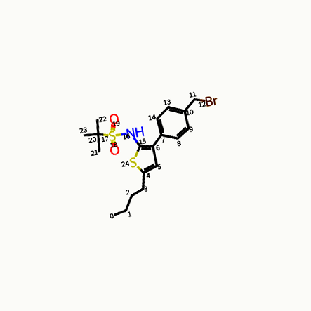 CCCCc1cc(-c2ccc(CBr)cc2)c(NS(=O)(=O)C(C)(C)C)s1